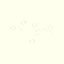 CN(C)c1ccccc1NC(=O)CN1Cc2cccc(OCCCC(=O)N(Cc3ccccc3)Cc3ccccc3)c2N=C1NC(=O)Oc1ccccc1